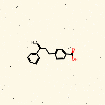 C=C(CCc1ccc(C(=O)O)cc1)c1ccccc1